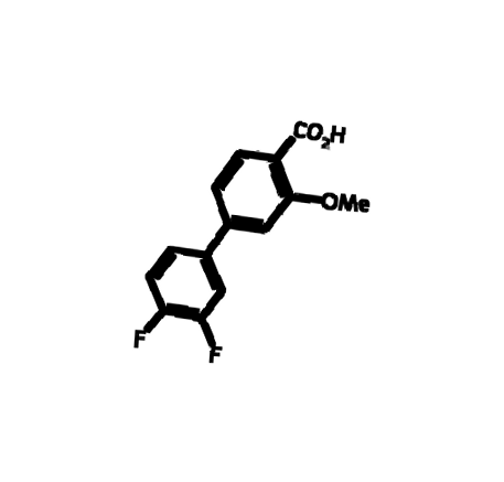 COc1cc(-c2ccc(F)c(F)c2)ccc1C(=O)O